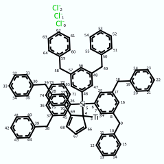 [Cl-].[Cl-].[Cl-].[Ti+3][C]1([Si](c2cc(Cc3ccccc3)cc(Cc3ccccc3)c2)(c2cc(Cc3ccccc3)cc(Cc3ccccc3)c2)c2cc(Cc3ccccc3)cc(Cc3ccccc3)c2)C=CC=C1c1ccccc1